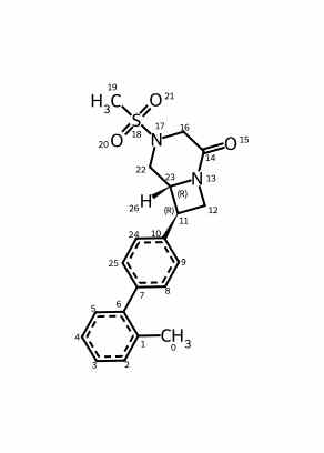 Cc1ccccc1-c1ccc([C@@H]2CN3C(=O)CN(S(C)(=O)=O)C[C@@H]23)cc1